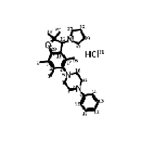 Cc1c(C)c(N2CCN(c3ccccc3)CC2)c(C)c2c1OC(C)(C)C2N1CCCC1.Cl